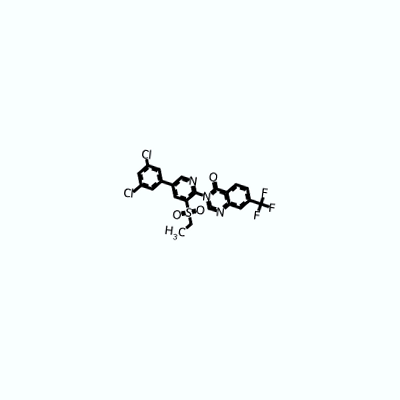 CCS(=O)(=O)c1cc(-c2cc(Cl)cc(Cl)c2)cnc1-n1cnc2cc(C(F)(F)F)ccc2c1=O